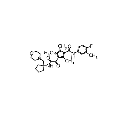 Cc1cc(NC(=O)c2c(C)c(C(=O)C(=O)NC3(CN4CCOCC4)CCCC3)n(C)c2C)ccc1F